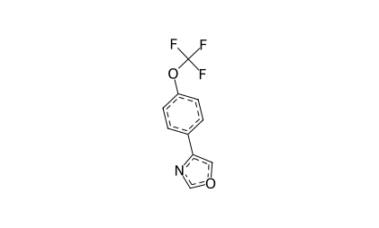 FC(F)(F)Oc1ccc(-c2cocn2)cc1